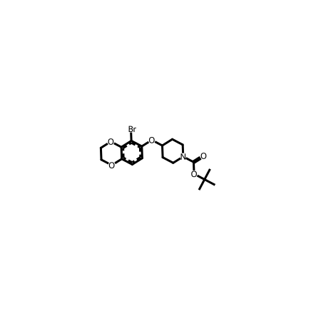 CC(C)(C)OC(=O)N1CCC(Oc2ccc3c(c2Br)OCCO3)CC1